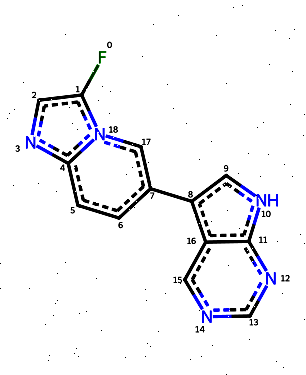 Fc1cnc2ccc(-c3c[nH]c4ncncc34)cn12